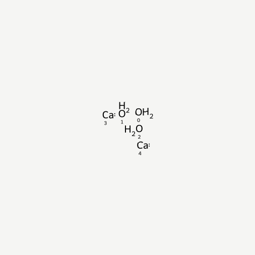 O.O.O.[Ca].[Ca]